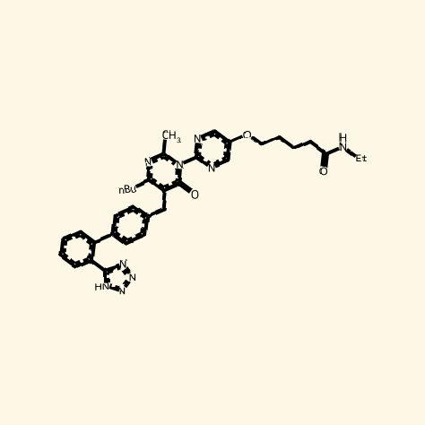 CCCCc1nc(C)n(-c2ncc(OCCCCC(=O)NCC)cn2)c(=O)c1Cc1ccc(-c2ccccc2-c2nnn[nH]2)cc1